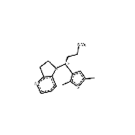 CNCC[C@@H](c1cc(C)sc1C)N1CCc2ncccc21